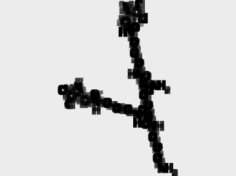 CN1Cc2c(Cl)cc(Cl)cc2[C@H](c2cccc([S+]([O-])NCCOCCOCCOCCNC(=O)CN(CCOCCOCCN(CC(=O)NCCOCCOCCOCCN)CC(=O)NCCOCCOCCOCCN[S+]([O-])c3cccc([C@@H]4CN(C)Cc5c(Cl)cc(Cl)cc54)c3)CC(N)=O)c2)C1